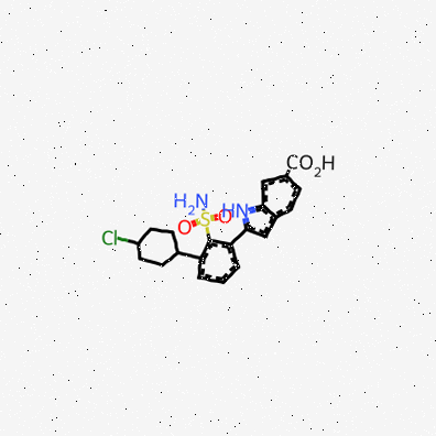 NS(=O)(=O)c1c(-c2cc3ccc(C(=O)O)cc3[nH]2)cccc1C1CCC(Cl)CC1